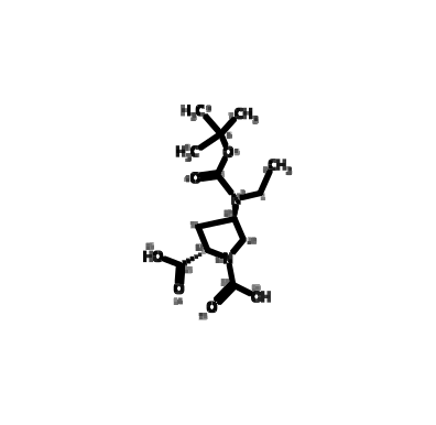 CCN(C(=O)OC(C)(C)C)[C@@H]1C[C@@H](C(=O)O)N(C(=O)O)C1